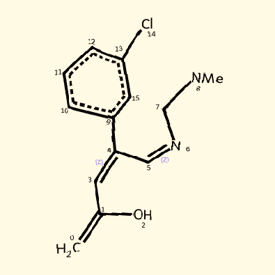 C=C(O)/C=C(\C=N/CNC)c1cccc(Cl)c1